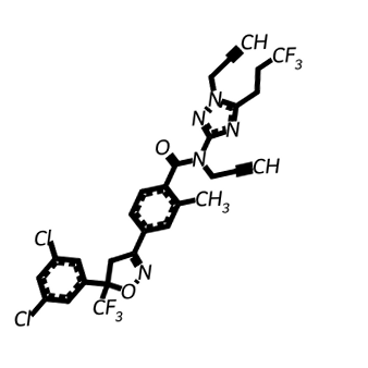 C#CCN(C(=O)c1ccc(C2=NOC(c3cc(Cl)cc(Cl)c3)(C(F)(F)F)C2)cc1C)c1nc(CCC(F)(F)F)n(CC#C)n1